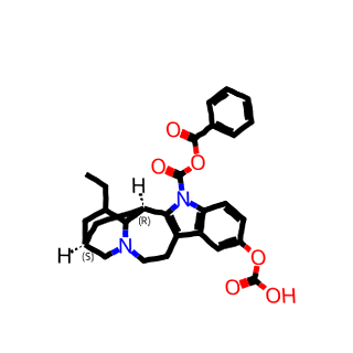 CCC1C[C@H]2C[C@H]3c4c(c5cc(OC(=O)O)ccc5n4C(=O)OC(=O)c4ccccc4)CCN(C2)C13